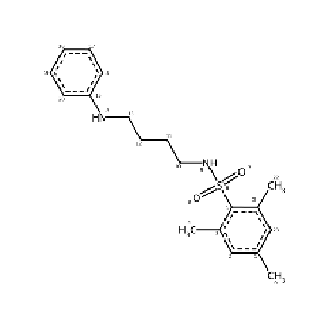 Cc1cc(C)c(S(=O)(=O)NCCCCNc2ccccc2)c(C)c1